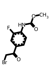 COC(=O)Nc1ccc(C(=O)CBr)cc1F